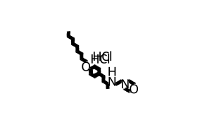 CCCCCCCCCOc1ccc(CCC(C)NCCN2CCOCC2)cc1.Cl.Cl